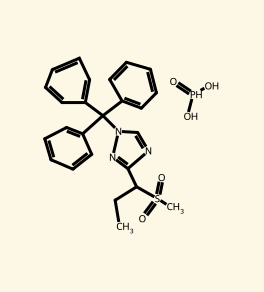 CCC(c1ncn(C(c2ccccc2)(c2ccccc2)c2ccccc2)n1)S(C)(=O)=O.O=[PH](O)O